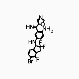 N=C(c1cnco1)c1cc(NC2c3ccc(Br)c(F)c3CC2(F)F)ccc1N